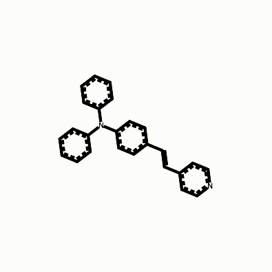 C(=Cc1ccc(N(c2ccccc2)c2ccccc2)cc1)c1ccncc1